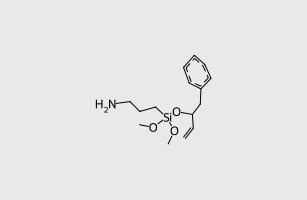 C=CC(Cc1ccccc1)O[Si](CCCN)(OC)OC